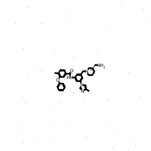 Cc1cn(-c2cc(CN3CCC[C@H](CN)C3)cc(NC(=O)c3ccc(C)c(Oc4ccccc4)c3)c2)cn1